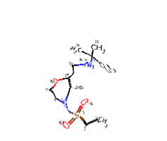 CCS(=O)(=O)N1CCOC(CNC(C)(C)C)C1